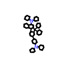 c1ccc(N(c2ccccc2)c2ccc(-c3ccc4c(c3)C(c3ccccc3)(c3ccccc3)c3cc(N(c5ccccc5)c5ccccc5)c5ccccc5c3-4)cc2)cc1